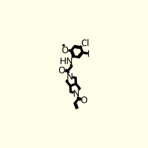 C=CC(=O)N1CC2CN(C(=O)CNc3cc(I)c(Cl)cc3OC)CC2C1